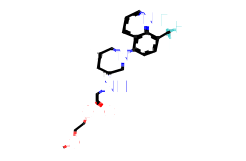 COCCOC(=O)CN[C@@H]1C[C@H](C)CN(c2ccc(C(F)(F)F)c3ncccc23)C1